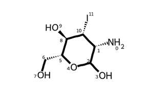 N[C@@H]1C(O)O[C@H](CO)[C@@H](O)[C@@H]1I